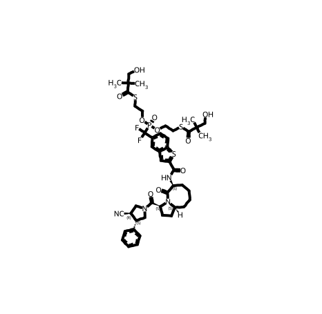 CC(C)(CO)C(=O)SCCOP(=O)(OCCSC(=O)C(C)(C)CO)C(F)(F)c1ccc2sc(C(=O)N[C@H]3CCCC[C@H]4CC[C@@H](C(=O)N5C[C@H](c6ccccc6)[C@@H](C#N)C5)N4C3=O)cc2c1